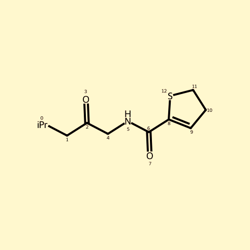 CC(C)CC(=O)CNC(=O)C1=CCCS1